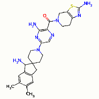 Cc1cc2c(cc1C)C(N)C1(CCN(c3cnc(C(=O)N4CCc5nc(N)sc5C4)c(N)n3)CC1)C2